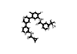 Cc1cc(F)c(NC(=O)c2ccnc(C(C)(C)C#N)c2)cc1-c1cncc(-c2ccnc(NC(=O)C3CC3)c2)c1